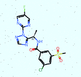 C[C@@H](NC(=O)c1cc(Cl)cc(S(C)(=O)=O)c1)c1ncnn1-c1ncc(F)cn1